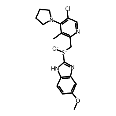 COc1ccc2[nH]c([S+]([O-])Cc3ncc(Cl)c(N4CCCC4)c3C)nc2c1